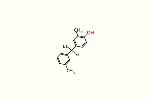 CCC(CC)(c1cccc(C)c1)c1ccc(O)c(C)c1